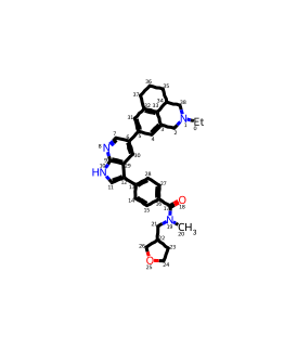 CCN1Cc2cc(-c3cnc4[nH]cc(-c5ccc(C(=O)N(C)CC6CCOC6)cc5)c4c3)cc3c2C(CCC3)C1